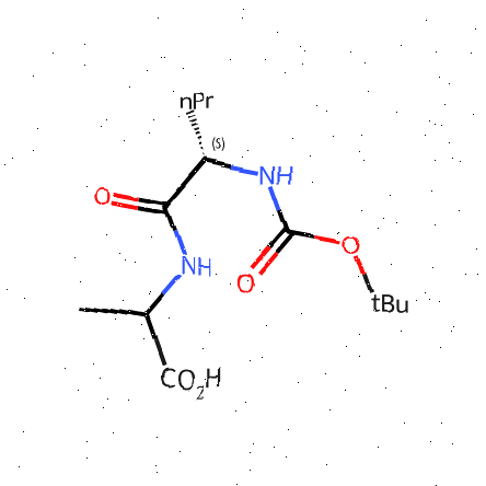 CCC[C@H](NC(=O)OC(C)(C)C)C(=O)NC(C)C(=O)O